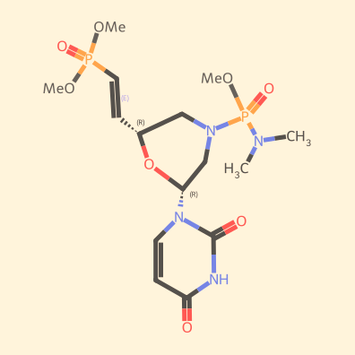 COP(=O)(/C=C/[C@@H]1CN(P(=O)(OC)N(C)C)C[C@H](n2ccc(=O)[nH]c2=O)O1)OC